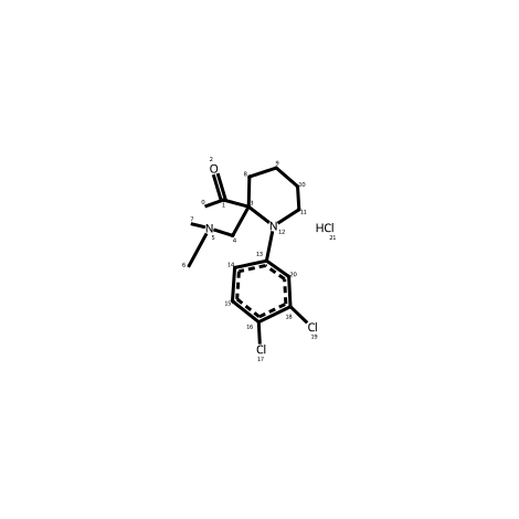 CC(=O)C1(CN(C)C)CCCCN1c1ccc(Cl)c(Cl)c1.Cl